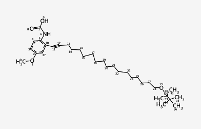 COc1ccc(NC(=O)O)c(C#CCCCCCCCCCCCCCCCCO[Si](C)(C)C(C)(C)C)c1